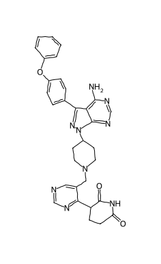 Nc1ncnc2c1c(-c1ccc(Oc3ccccc3)cc1)nn2C1CCN(Cc2cncnc2C2CCC(=O)NC2=O)CC1